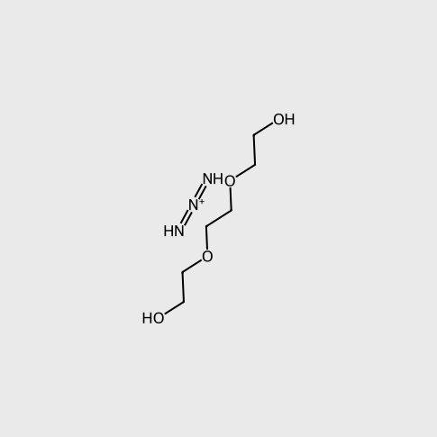 N=[N+]=N.OCCOCCOCCO